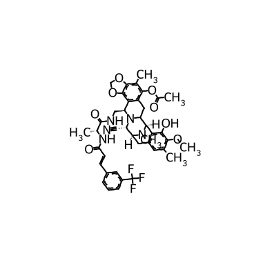 COc1c(C)cc2c(c1O)[C@@H]1C3Cc4c(OC(C)=O)c(C)c5c(c4[C@H](CNC(=O)[C@@H](C)NC(=O)/C=C/c4cccc(C(F)(F)F)c4)N3[C@@H](C#N)[C@H](C2)N1C)OCO5